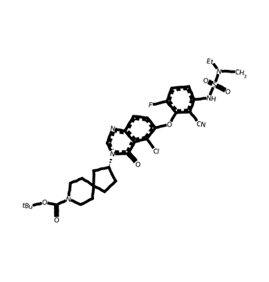 CCN(C)S(=O)(=O)Nc1ccc(F)c(Oc2ccc3ncn([C@@H]4CCC5(CCN(C(=O)OC(C)(C)C)CC5)C4)c(=O)c3c2Cl)c1C#N